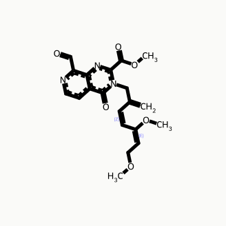 C=C(/C=C\C(=C/COC)OC)Cn1c(C(=O)OC)nc2c(C=O)nccc2c1=O